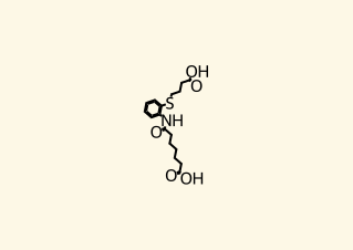 O=C(O)CCCCCC(=O)Nc1ccccc1SCCCC(=O)O